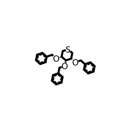 c1ccc(CO[C@@H]2[C@@H](OCc3ccccc3)CSC[C@H]2OCc2ccccc2)cc1